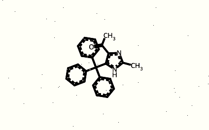 CC(=O)c1nc(C)[nH]c1C(c1ccccc1)(c1ccccc1)c1ccccc1